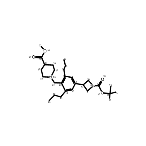 CCCc1cc(C2CN(C(=O)OC(C)(C)C)C2)cc(CCC)c1CN1CCC(C(=O)OC)CC1